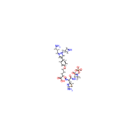 CC1(C)[C@H](NC(=O)/C(=N\OC(CCCOc2ccc(-c3cn(CCCN)[n+](CC4CNC4)c3)cc2)C(=O)O)c2csc(N)n2)C(=O)N1OS(=O)(=O)[O-]